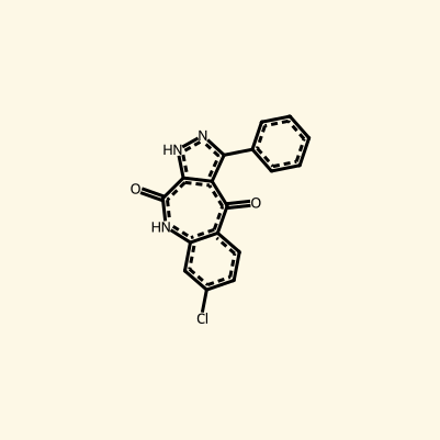 O=c1[nH]c2cc(Cl)ccc2c(=O)c2c(-c3ccccc3)n[nH]c12